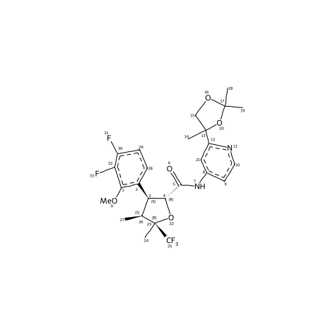 COc1c([C@H]2[C@H](C(=O)Nc3ccnc(C4(C)COC(C)(C)O4)c3)O[C@@](C)(C(F)(F)F)[C@H]2C)ccc(F)c1F